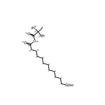 CCCCCCCCCCCCCCCCCCCCCC(=O)OC(=O)C(C)(C(C)C)C(C)C